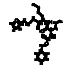 CCCCC(NC(=O)C(CCC)NC(=O)OCc1ccccc1)C(=O)CSCc1ccco1